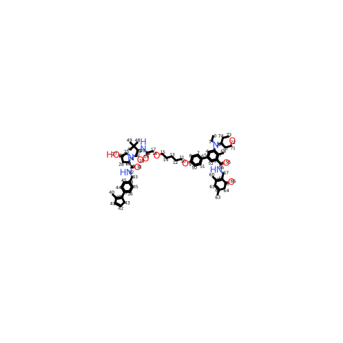 CCN(c1cc(-c2ccc(OCCCCCOCC(=O)N[C@H](C(=O)N3C[C@H](O)C[C@H]3C(=O)NCc3ccc(C4=C(C)C=CC4)cc3)C(C)(C)C)cc2)cc(C(=O)NCC2=C(C)C=C(C)CC2=O)c1C)C1CCOCC1